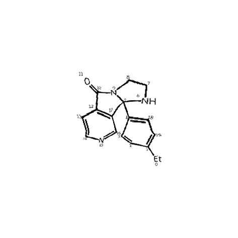 CCc1ccc(C23NCCN2C(=O)c2ccncc23)cc1